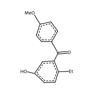 CCc1ccc(O)cc1C(=O)c1ccc(OC)cc1